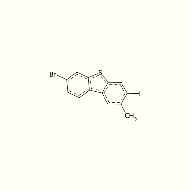 Cc1cc2c(cc1I)sc1cc(Br)ccc12